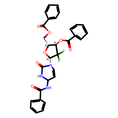 O=C(NC1C=CN([C@@H]2O[C@H](COC(=O)c3ccccc3)[C@@H](OC(=O)c3ccccc3)C2(F)F)C(=O)N1)c1ccccc1